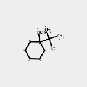 CCC(C)(C)C1(OC)CCCCC1